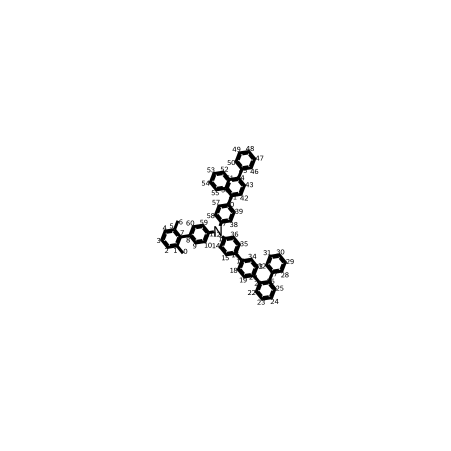 Cc1cccc(C)c1-c1ccc(N(c2ccc(-c3ccc(-c4ccccc4-c4ccccc4)cc3)cc2)c2ccc(-c3ccc(-c4ccccc4)c4ccccc34)cc2)cc1